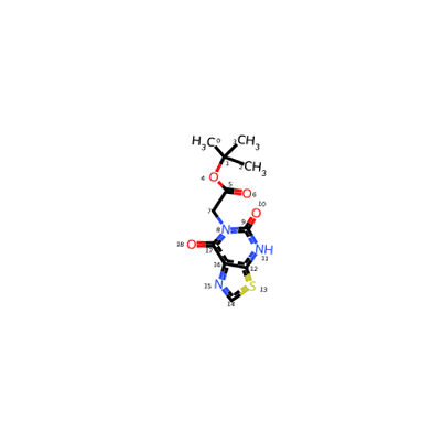 CC(C)(C)OC(=O)Cn1c(=O)[nH]c2scnc2c1=O